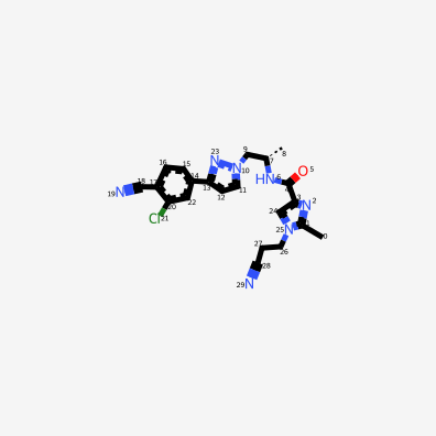 Cc1nc(C(=O)N[C@@H](C)Cn2ccc(-c3ccc(C#N)c(Cl)c3)n2)cn1CCC#N